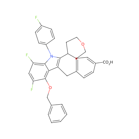 O=C(O)c1ccc(Cc2c(C3CCOCC3)n(-c3ccc(F)cc3)c3c(F)cc(F)c(OCc4ccccc4)c23)cc1